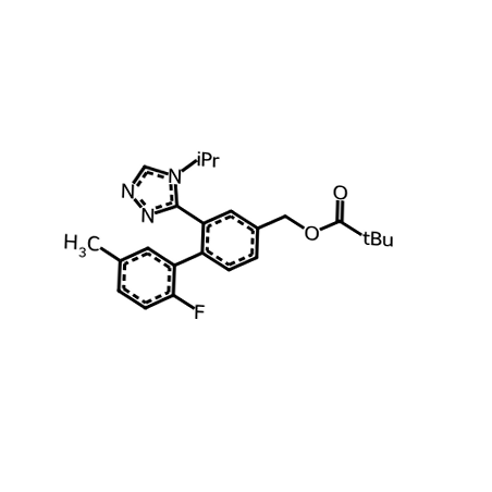 Cc1ccc(F)c(-c2ccc(COC(=O)C(C)(C)C)cc2-c2nncn2C(C)C)c1